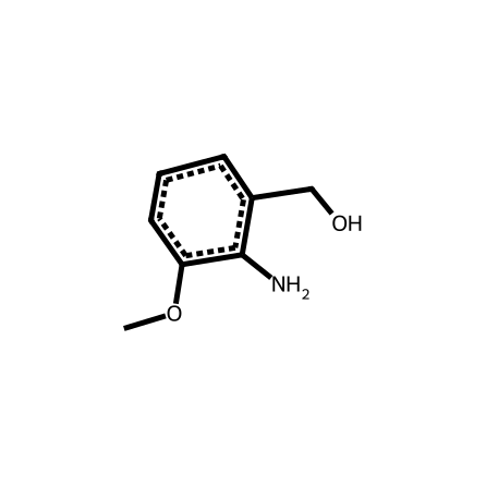 COc1cccc(CO)c1N